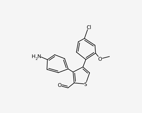 COc1cc(Cl)ccc1-c1csc(C=O)c1-c1ccc(N)cc1